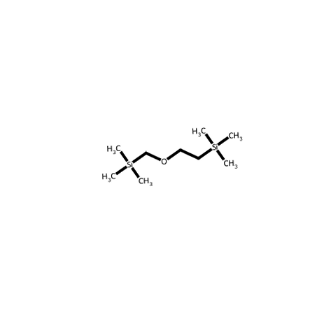 C[Si](C)(C)[CH]OCC[Si](C)(C)C